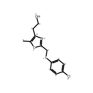 Cc1oc(CSc2ccc(Cl)cc2)nc1CCO